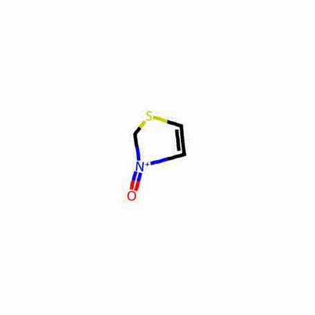 O=[N+]1C=CSC1